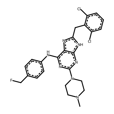 CN1CCN(c2nc(Nc3ccc(CF)cc3)c3nc(Cc4c(Cl)cccc4Cl)[nH]c3n2)CC1